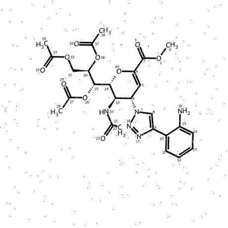 COC(=O)C1=C[C@H](n2cc(-c3ccccc3N)nn2)[C@@H](NC(C)=O)[C@H]([C@H](OC(C)=O)[C@@H](COC(C)=O)OC(C)=O)O1